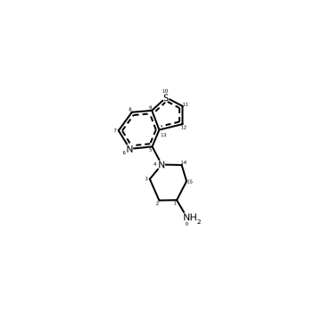 NC1CCN(c2nccc3sccc23)CC1